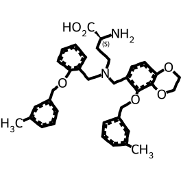 Cc1cccc(COc2ccccc2CN(CC[C@H](N)C(=O)O)Cc2ccc3c(c2OCc2cccc(C)c2)OCCO3)c1